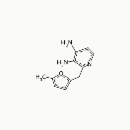 Cc1ccc(Cc2nccc(N)c2N)o1